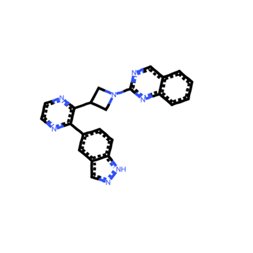 c1ccc2nc(N3CC(c4nccnc4-c4ccc5[nH]ncc5c4)C3)ncc2c1